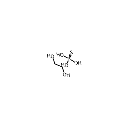 OCCO.OP(O)(O)=S